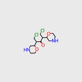 O=C(C(CCl)C1CNCCO1)C(CCl)C1CNCCO1